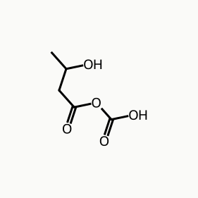 CC(O)CC(=O)OC(=O)O